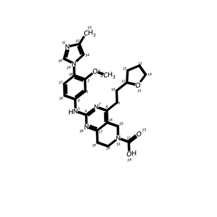 COc1cc(Nc2nc(CCC3CCCO3)c3c(n2)CCN(C(=O)O)C3)ccc1-n1cnc(C)c1